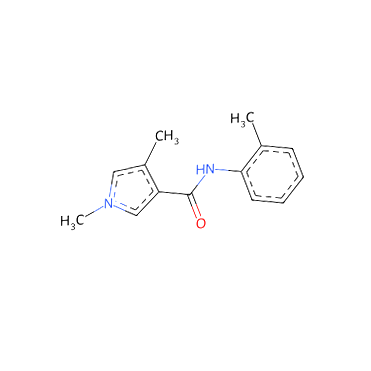 Cc1ccccc1NC(=O)c1cn(C)cc1C